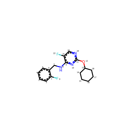 Fc1ccccc1CNc1nc(OC2CCCCC2)ncc1F